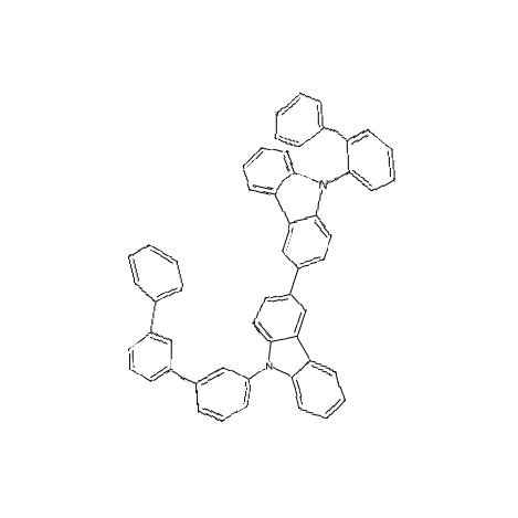 c1ccc(-c2cccc(-c3cccc(-n4c5ccccc5c5cc(-c6ccc7c(c6)c6ccccc6n7-c6ccccc6-c6ccccc6)ccc54)c3)c2)cc1